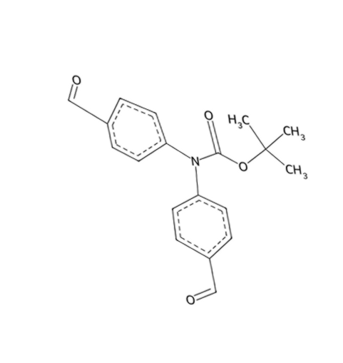 CC(C)(C)OC(=O)N(c1ccc(C=O)cc1)c1ccc(C=O)cc1